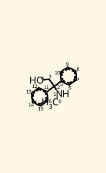 CNC(CO)(c1ccccc1)c1ccccc1